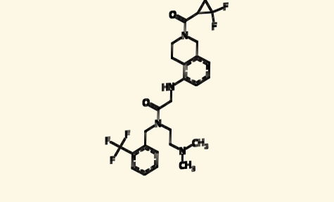 CN(C)CCN(Cc1ccccc1C(F)(F)F)C(=O)CNc1cccc2c1CCN(C(=O)C1CC1(F)F)C2